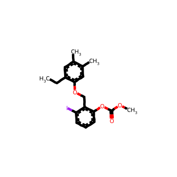 CCc1cc(C)c(C)cc1OCc1c(I)cccc1OC(=O)OC